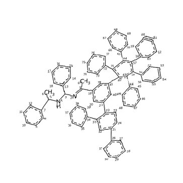 C/C(=N\C(NC(C)c1ccccc1)c1ccccc1)c1cc(-c2ccc(-c3ccccc3)cc2-c2ccccc2)cc(-c2c(-c3ccccc3)c(C3=CC=C=C=C3)c(-c3cc#ccc3)c(-c3ccccc3)c2-c2ccccc2)c1